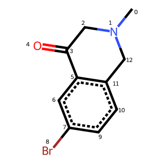 CN1CC(=O)c2cc(Br)ccc2C1